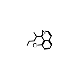 CCCC(C)c1nccc2cccc(Cl)c12